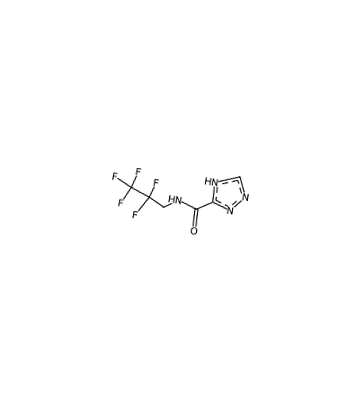 O=C(NCC(F)(F)C(F)(F)F)c1nnc[nH]1